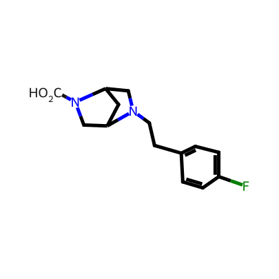 O=C(O)N1CC2CC1CN2CCc1ccc(F)cc1